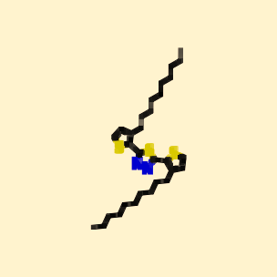 CCCCCCCCCCc1ccsc1-c1nnc(-c2sccc2CCCCCCCCCC)s1